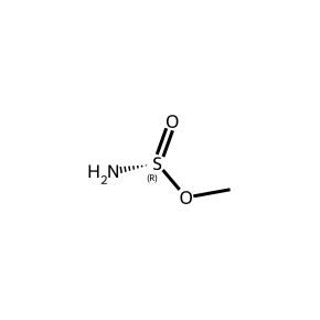 CO[S@](N)=O